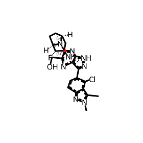 Cc1c2c(Cl)c(-c3n[nH]c4nc(N5[C@H]6CC[C@@H]5[C@@H](F)[C@@H](N)C6)c(CO)nc34)ccc2nn1C